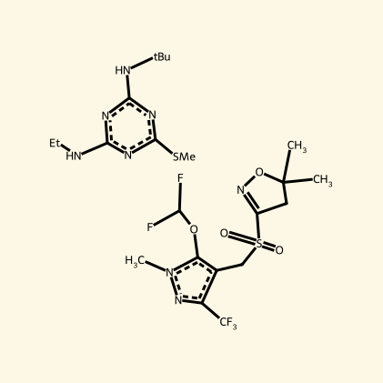 CCNc1nc(NC(C)(C)C)nc(SC)n1.Cn1nc(C(F)(F)F)c(CS(=O)(=O)C2=NOC(C)(C)C2)c1OC(F)F